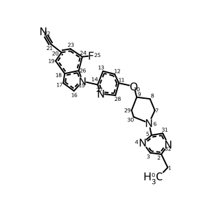 CCc1cnc(N2CCC(Oc3ccc(-n4ccc5cc(C#N)cc(F)c54)nc3)CC2)cn1